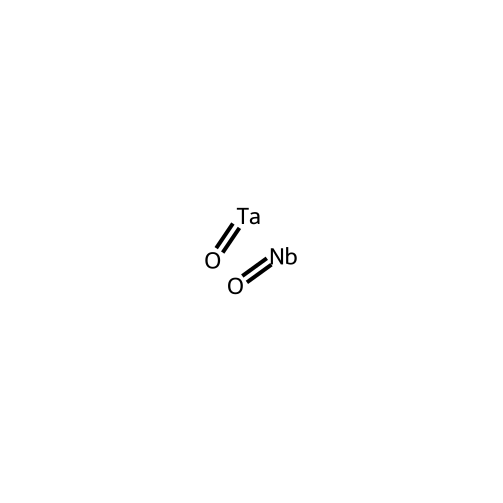 [O]=[Nb].[O]=[Ta]